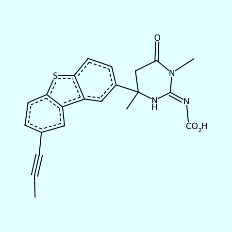 CC#Cc1ccc2sc3ccc(C4(C)CC(=O)N(C)C(=NC(=O)O)N4)cc3c2c1